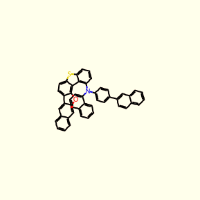 c1ccc2cc(-c3ccc(N(c4cccc5ccccc45)c4cccc5sc6ccc7c8cc9ccccc9cc8oc7c6c45)cc3)ccc2c1